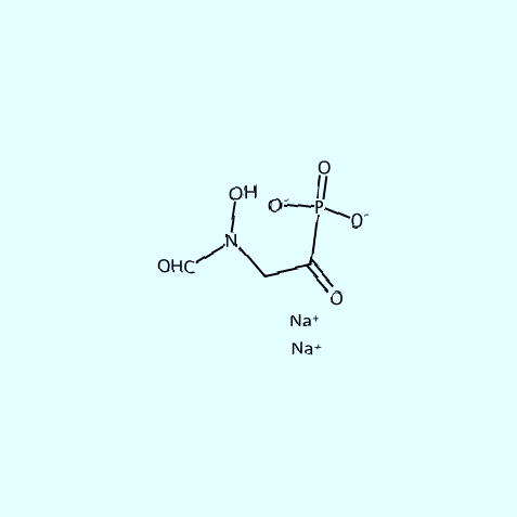 O=CN(O)CC(=O)P(=O)([O-])[O-].[Na+].[Na+]